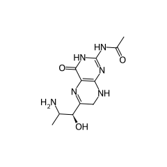 CC(=O)Nc1nc2c(c(=O)[nH]1)N=C([C@@H](O)C(C)N)CN2